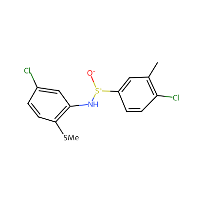 CSc1ccc(Cl)cc1N[S+]([O-])c1ccc(Cl)c(C)c1